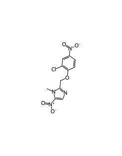 Cn1c([N+](=O)[O-])cnc1COc1ccc([N+](=O)[O-])cc1Cl